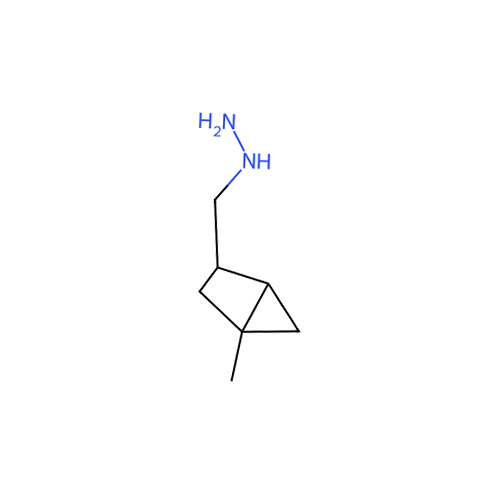 CC12CC(CNN)C1C2